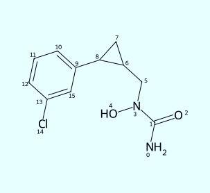 NC(=O)N(O)CC1CC1c1cccc(Cl)c1